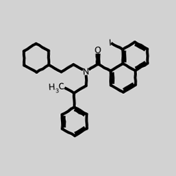 CC(CN(CCC1CCCCC1)C(=O)c1cccc2cccc(I)c12)c1ccccc1